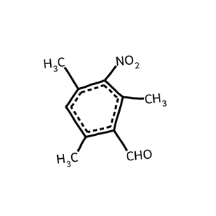 Cc1cc(C)c([N+](=O)[O-])c(C)c1C=O